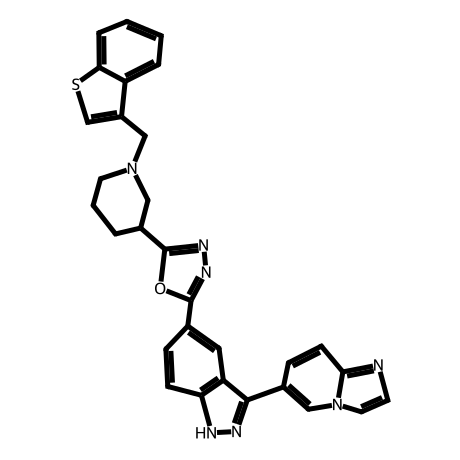 c1ccc2c(CN3CCCC(c4nnc(-c5ccc6[nH]nc(-c7ccc8nccn8c7)c6c5)o4)C3)csc2c1